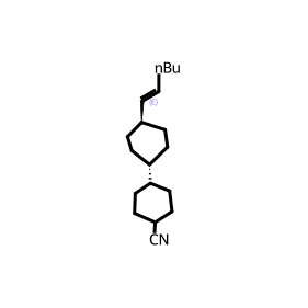 CCCC/C=C/[C@H]1CC[C@H](C2CCC(C#N)CC2)CC1